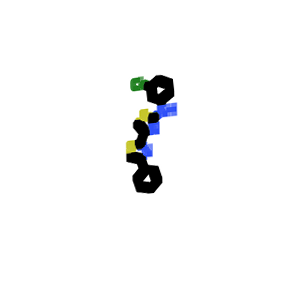 Clc1cccc(Nc2nc(-c3nc(-c4ccccc4)cs3)cs2)c1